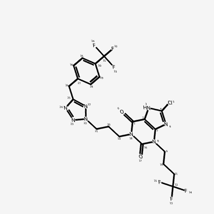 O=c1c2[nH]c(Cl)nc2n(CCCC(F)(F)F)c(=O)n1CCCn1nnc(Cc2ccc(C(F)(F)F)cc2)n1